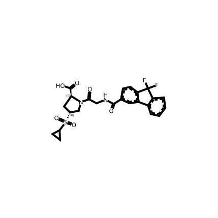 O=C(NCC(=O)N1C[C@H](S(=O)(=O)C2CC2)C[C@H]1C(=O)O)c1ccc2c(c1)-c1ccccc1C2(F)F